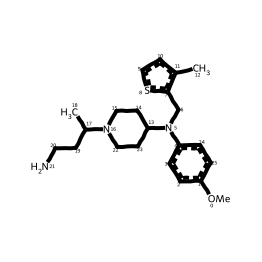 COc1ccc(N(Cc2sccc2C)C2CCN(C(C)CCN)CC2)cc1